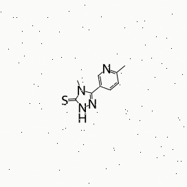 Cc1ccc(-c2n[nH]c(=S)n2C)cn1